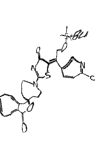 CC(C)(C)[Si](C)(C)OC/C(=C1/SC(N2CCC3(CC2)OC(=O)c2ccccc23)=NC1=O)c1ccc(Cl)nc1